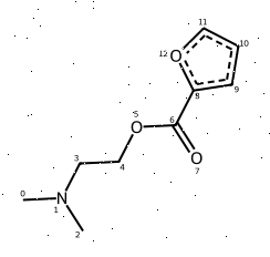 CN(C)CCOC(=O)c1ccco1